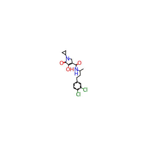 CC(CCc1ccc(Cl)c(Cl)c1)NC(=O)C1=C(O)C(=O)N(C2CC2)C1